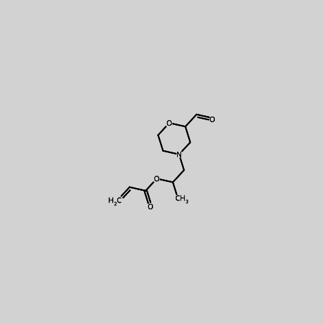 C=CC(=O)OC(C)CN1CCOC(C=O)C1